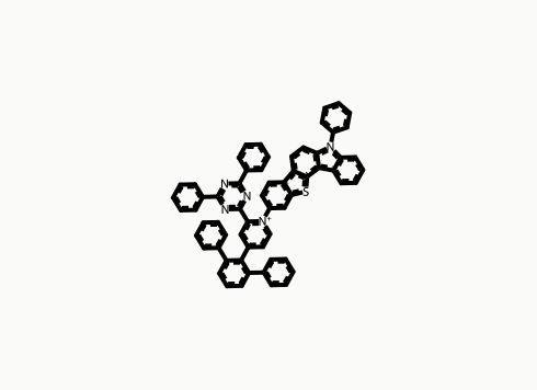 c1ccc(-c2nc(-c3ccccc3)nc(-c3cc(-c4c(-c5ccccc5)cccc4-c4ccccc4)cc[n+]3-c3ccc4c(c3)sc3c4ccc4c3c3ccccc3n4-c3ccccc3)n2)cc1